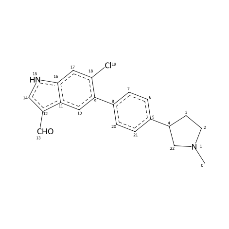 CN1CCC(c2ccc(-c3cc4c(C=O)c[nH]c4cc3Cl)cc2)C1